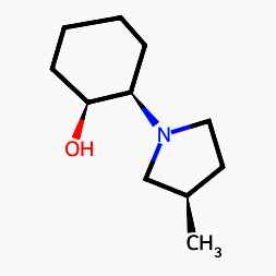 C[C@@H]1CCN([C@@H]2CCCC[C@@H]2O)C1